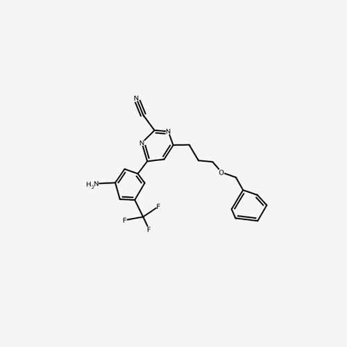 N#Cc1nc(CCCOCc2ccccc2)cc(-c2cc(N)cc(C(F)(F)F)c2)n1